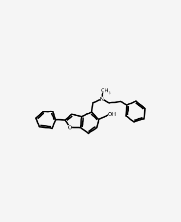 CN(CCc1ccccc1)Cc1c(O)ccc2oc(-c3ccccc3)cc12